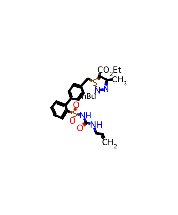 C=CCNC(=O)NS(=O)(=O)c1ccccc1-c1ccc(CS2=C(C(=O)OCC)C(C)=NN2CCCC)cc1